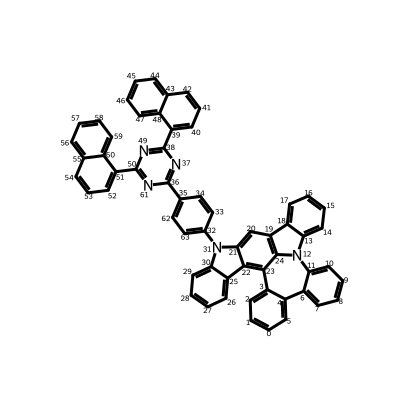 c1ccc2c(c1)-c1ccccc1-n1c3ccccc3c3cc4c(c-2c31)c1ccccc1n4-c1ccc(-c2nc(-c3cccc4ccccc34)nc(-c3cccc4ccccc34)n2)cc1